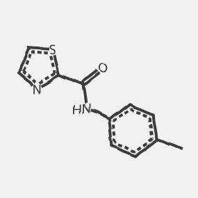 Cc1ccc(NC(=O)c2nccs2)cc1